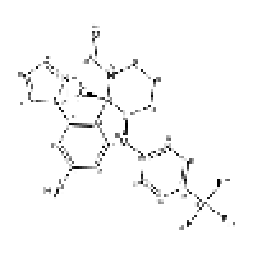 Cc1ccc([C@@]2(C)[C@H](Oc3ccc(C(F)(F)F)cn3)CCCN2C=O)c(-n2nccn2)c1